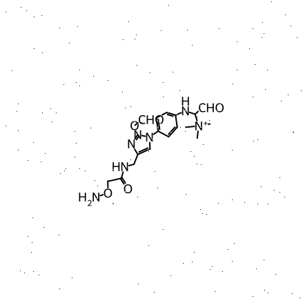 C[N+](C)(C)C(C=O)Nc1ccc(-n2cc(CNC(=O)CON)nn2)cc1.O=C[O-]